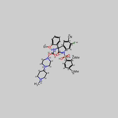 CCOc1ccccc1C1(NC(=O)ON2CCN(C3CCN(C)CC3)CC2)C(=O)N(S(=O)(=O)c2ccc(OC)cc2OC)c2cc(F)c(C#N)cc21